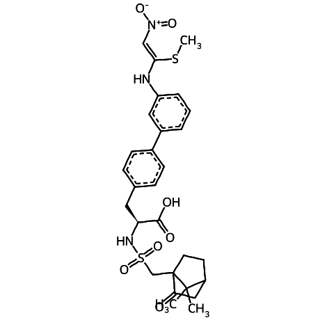 CS/C(=C\[N+](=O)[O-])Nc1cccc(-c2ccc(C[C@H](NS(=O)(=O)CC34CCC(CC3=O)C4(C)C)C(=O)O)cc2)c1